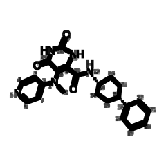 CN(c1ccncc1)c1c(C(=O)N[C@H]2CC[C@@H](c3ccccc3)CC2)[nH]c(=O)[nH]c1=O